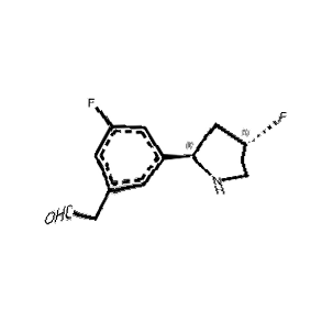 O=CCc1cc(F)cc([C@H]2C[C@H](F)CN2)c1